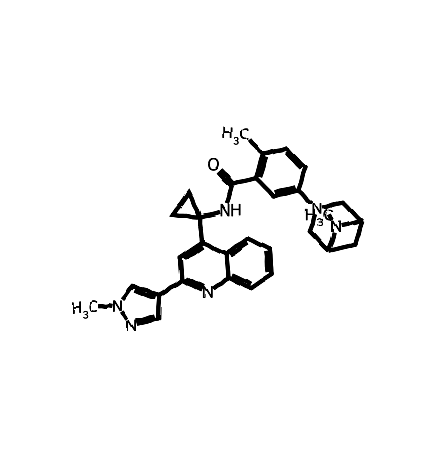 Cc1ccc(N2CC3CC(C2)N3C)cc1C(=O)NC1(c2cc(-c3cnn(C)c3)nc3ccccc23)CC1